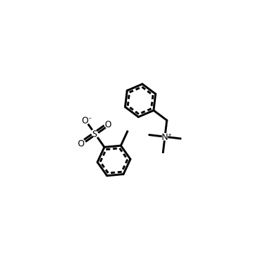 C[N+](C)(C)Cc1ccccc1.Cc1ccccc1S(=O)(=O)[O-]